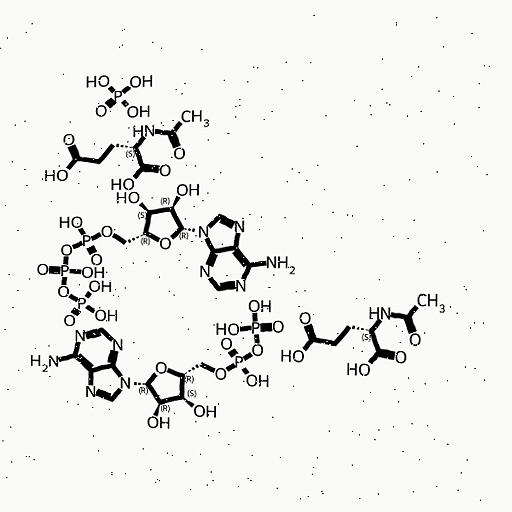 CC(=O)N[C@@H](CCC(=O)O)C(=O)O.CC(=O)N[C@@H](CCC(=O)O)C(=O)O.Nc1ncnc2c1ncn2[C@@H]1O[C@H](COP(=O)(O)OP(=O)(O)O)[C@@H](O)[C@H]1O.Nc1ncnc2c1ncn2[C@@H]1O[C@H](COP(=O)(O)OP(=O)(O)OP(=O)(O)O)[C@@H](O)[C@H]1O.O=P(O)(O)O